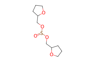 O=S(OCC1CCCO1)OCC1CCCO1